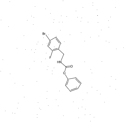 O=C(NCc1ccc(Br)cc1F)Oc1ccccc1